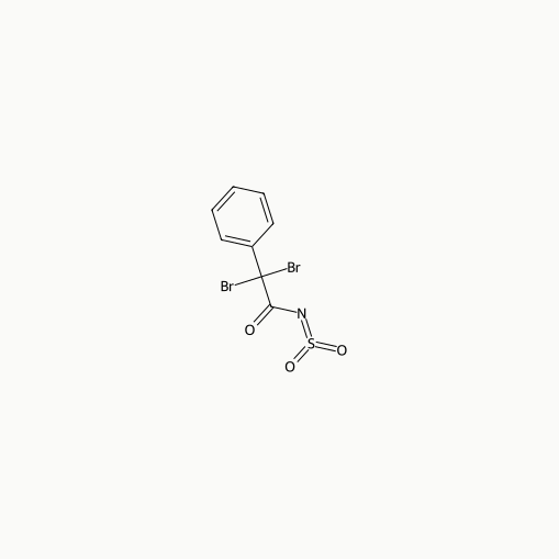 O=C(N=S(=O)=O)C(Br)(Br)c1ccccc1